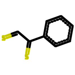 S=CC(=S)c1ccccc1